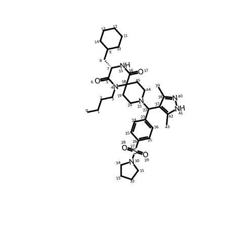 CCCCN1C(=O)[C@H](CC2CCCCC2)NC(=O)C12CCN(C(c1ccc(S(=O)(=O)N3CCCC3)cc1)c1c(C)n[nH]c1C)CC2